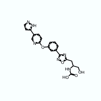 O=C(O)NC(CO)Cc1nc(-c2cccc(Oc3ccc(-c4ccn[nH]4)cn3)c2)no1